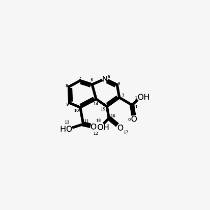 O=C(O)c1cnc2cccc(C(=O)O)c2c1C(=O)O